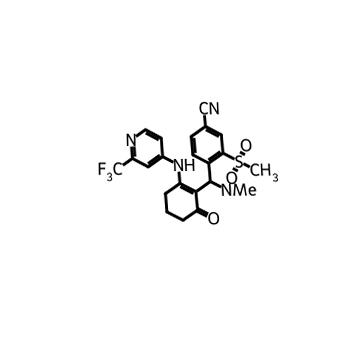 CNC(C1=C(Nc2ccnc(C(F)(F)F)c2)CCCC1=O)c1ccc(C#N)cc1S(C)(=O)=O